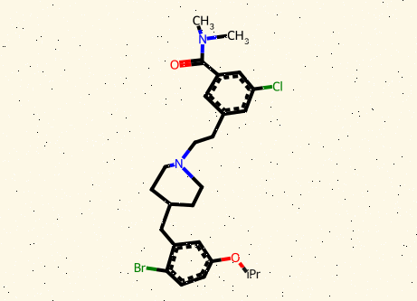 CC(C)Oc1ccc(Br)c(CC2CCN(CCc3cc(Cl)cc(C(=O)N(C)C)c3)CC2)c1